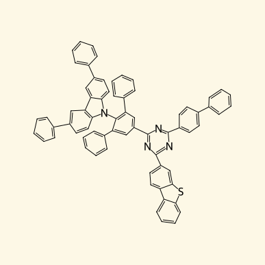 c1ccc(-c2ccc(-c3nc(-c4cc(-c5ccccc5)c(-n5c6ccc(-c7ccccc7)cc6c6cc(-c7ccccc7)ccc65)c(-c5ccccc5)c4)nc(-c4ccc5c(c4)sc4ccccc45)n3)cc2)cc1